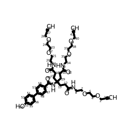 C#CCOCCOCCNC(=O)CCC(CCC(=O)NCCOCCOCC#C)(CCC(=O)NCCOCCOCC#C)NC(=O)c1ccc(-c2ccc(O)cc2)cc1